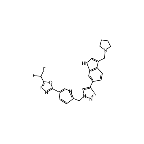 FC(F)c1nnc(-c2ccc(Cn3cc(-c4ccc5c(CN6CCCC6)c[nH]c5c4)nn3)nc2)o1